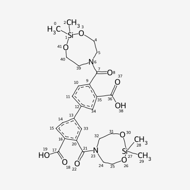 C[Si]1(C)OCCN(C(=O)c2ccc(-c3ccc(C(=O)O)c(C(=O)N4CCO[Si](C)(C)OCC4)c3)cc2C(=O)O)CCO1